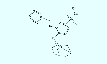 CCNS(=O)(=O)c1ccc(NC2C3CC4CC(C3)CC2C4)c(NCc2ccccc2)c1